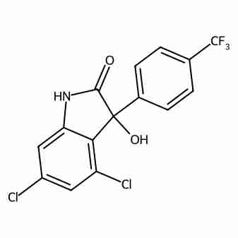 O=C1Nc2cc(Cl)cc(Cl)c2C1(O)c1ccc(C(F)(F)F)cc1